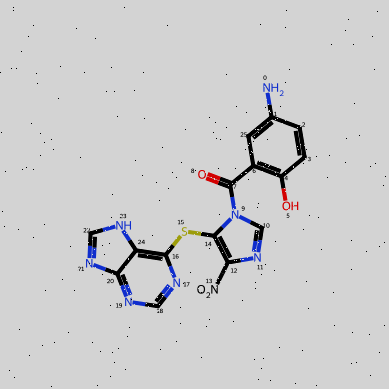 Nc1ccc(O)c(C(=O)n2cnc([N+](=O)[O-])c2Sc2ncnc3nc[nH]c23)c1